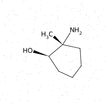 C[C@@]1(N)CCCC[C@H]1O